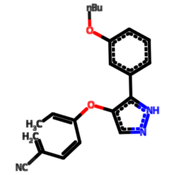 C=C(C#N)/C=C\C(=C/C)Oc1cn[nH]c1-c1cccc(OCCCC)c1